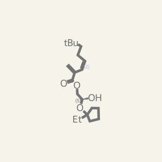 C=C(/C=C\CCC(C)(C)C)C(=O)OC[C@@H](O)OC1(CC)CCCC1